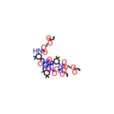 C=CC(=O)OCCOC(=O)NC1CC(C)(C)CC(C)(Cn2c(=O)n(CC3(C)CC(NC(=O)OCCOC(=O)C=C)CC(C)(C)C3)c(=O)n(CC3(C)CC(NC(=O)OCCOC(=O)C=C)CC(C)(C)C3)c2=O)C1